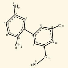 CCCOc1cc(-c2cc(N)ccc2C)cc(Cl)n1